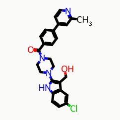 Cc1cc(-c2ccc(C(=O)N3CCN(c4[nH]c5ccc(Cl)cc5c4CO)CC3)cc2)ccn1